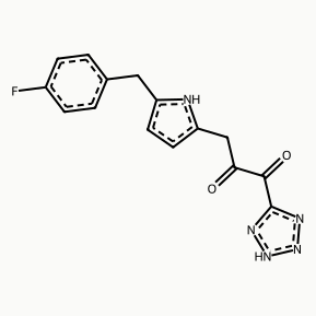 O=C(Cc1ccc(Cc2ccc(F)cc2)[nH]1)C(=O)c1nn[nH]n1